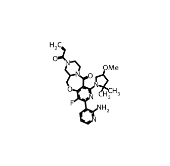 C=CC(=O)N1CCN2C(=O)c3c(N4CC(OC)CC4(C)C)nc(-c4cccnc4N)c(F)c3OCC2C1